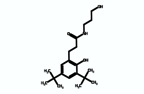 CC(C)(C)c1cc(CCC(=O)NCCCO)c(O)c(C(C)(C)C)c1